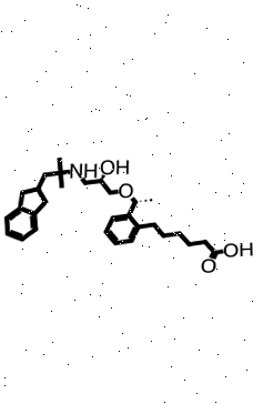 C[C@@H](OC[C@H](O)CNC(C)(C)CC1Cc2ccccc2C1)c1ccccc1CCCCCC(=O)O